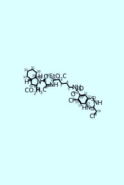 CCOC(=O)[C@H](CCCCNS(=O)(=O)c1cc2c(cc1Cl)NC(CCl)NS2)N[C@@H](C)C(=O)N1[C@@H]2CCCC[C@@H]2C[C@H]1C(=O)O